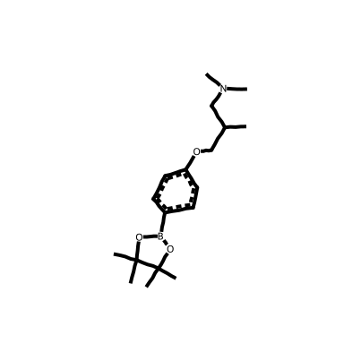 CC(COc1ccc(B2OC(C)(C)C(C)(C)O2)cc1)CN(C)C